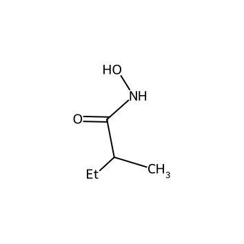 CCC(C)C(=O)NO